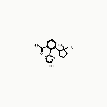 CC1(N)CCCC1c1cccc(C(N)=O)c1-n1nccn1.Cl